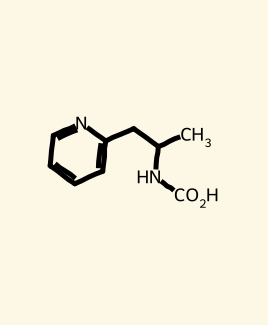 CC(Cc1ccccn1)NC(=O)O